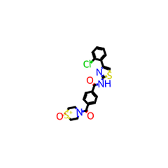 O=C(Nc1nc(-c2ccccc2Cl)cs1)c1ccc(C(=O)N2CC[S+]([O-])CC2)cc1